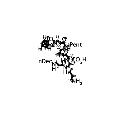 CCCCCCCCCCNCCC(=O)N[C@@H](CCCCN)C(=O)N[C@@H](CC(=O)O)C(=O)N[C@@H](C)C(=O)N[C@@H](CCCCC)C(=O)N[C@@H](C)B1O[C@@H]2C[C@@H]3C[C@@H](C3(C)C)[C@]2(C)O1